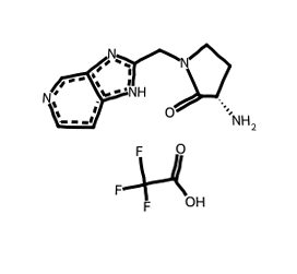 N[C@H]1CCN(Cc2nc3cnccc3[nH]2)C1=O.O=C(O)C(F)(F)F